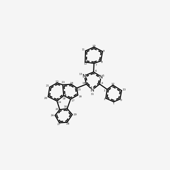 c1ccc(-c2nc(-c3ccccc3)nc(-c3cc4c5c(cccc5c3)-c3ccccc3-4)n2)cc1